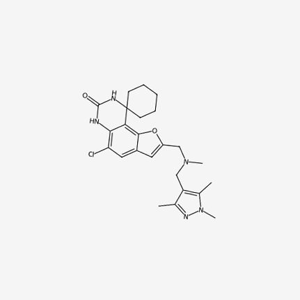 Cc1nn(C)c(C)c1CN(C)Cc1cc2cc(Cl)c3c(c2o1)C1(CCCCC1)NC(=O)N3